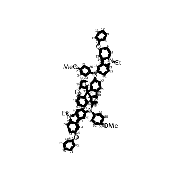 CCn1c2ccc(Oc3ccccc3)cc2c2cc(N(c3ccc(OC)cc3)c3ccc4c(c3)C3(c5ccccc5Oc5ccccc53)c3cc(N(c5ccc(OC)cc5)c5ccc6c(c5)c5cc(Oc7ccccc7)ccc5n6CC)ccc3-4)ccc21